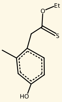 CCOC(=S)Cc1ccc(O)cc1C